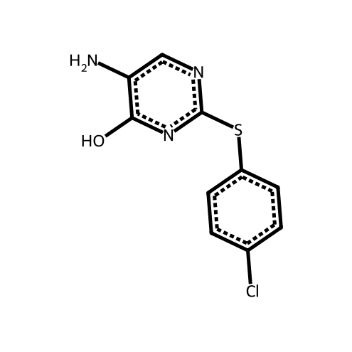 Nc1cnc(Sc2ccc(Cl)cc2)nc1O